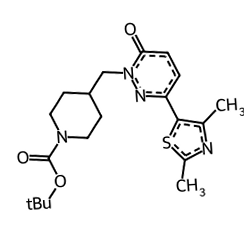 Cc1nc(C)c(-c2ccc(=O)n(CC3CCN(C(=O)OC(C)(C)C)CC3)n2)s1